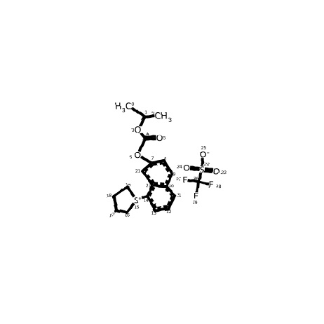 CC(C)OC(=O)Oc1ccc2cccc([S+]3CCCC3)c2c1.O=S(=O)([O-])C(F)(F)F